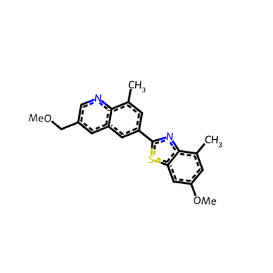 COCc1cnc2c(C)cc(-c3nc4c(C)cc(OC)cc4s3)cc2c1